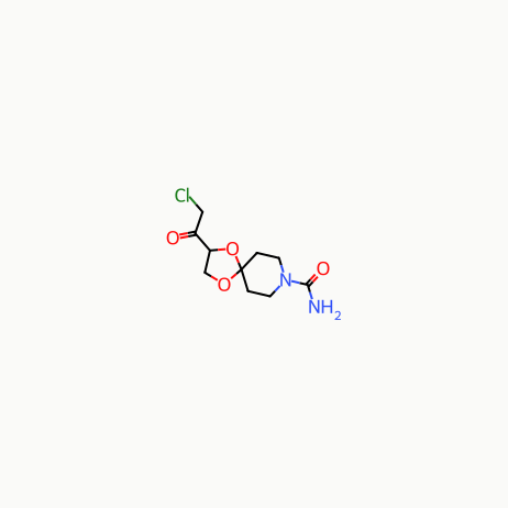 NC(=O)N1CCC2(CC1)OCC(C(=O)CCl)O2